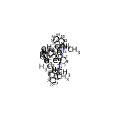 CCN1/C(=C/C=C2\CCCC(/C=C/C3=[N+](CC)c4ccc5ccccc5c4C3(C)C)=C2N(C)C(=O)c2ccc([N+](=O)[O-])c([N+](=O)[O-])c2)C(C)(C)c2c1ccc1ccccc21